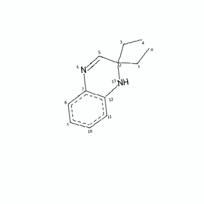 CCC1(CC)C=Nc2ccccc2N1